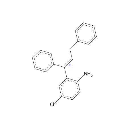 Nc1ccc(Cl)cc1/C(=C/Cc1ccccc1)c1ccccc1